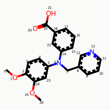 COc1ccc(N(Cc2cccnc2)c2cccc(C(=O)O)c2)cc1OC